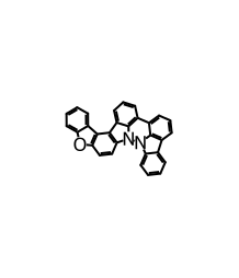 c1ccc2c(c1)oc1ccc3c(c4cccc5c6cccc7c8ccccc8n(c76)n3c54)c12